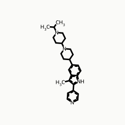 Cc1c(-c2ccncc2)[nH]c2ccc(C3CCN(C4CCN(C(C)C)CC4)CC3)cc12